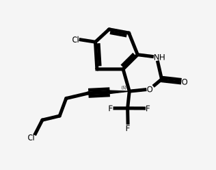 O=C1Nc2ccc(Cl)cc2[C@@](C#CCCCCl)(C(F)(F)F)O1